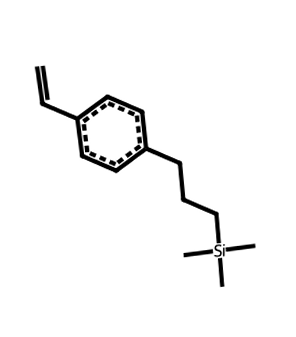 C=Cc1ccc(CCC[Si](C)(C)C)cc1